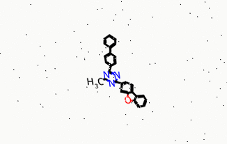 Cc1nc(-c2ccc(-c3ccccc3)cc2)nc(-c2ccc3c(c2)oc2ccccc23)n1